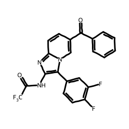 O=C(c1ccccc1)c1ccc2nc(NC(=O)C(F)(F)F)c(-c3ccc(F)c(F)c3)n2c1